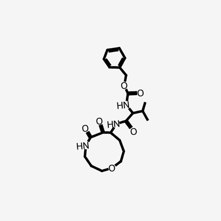 CC(C)C(NC(=O)OCc1ccccc1)C(=O)NC1CCCOCCCNC(=O)C1=O